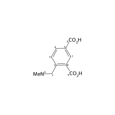 CNCc1ccc(C(=O)O)cc1C(=O)O